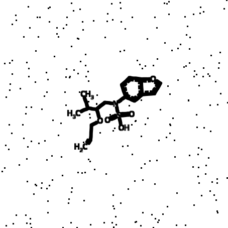 C=CCOC(CN(c1ccc2occc2c1)S(=O)(=O)O)C(C)C